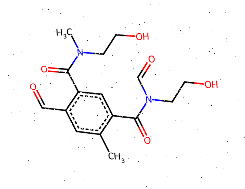 Cc1cc(C=O)c(C(=O)N(C)CCO)cc1C(=O)N(C=O)CCO